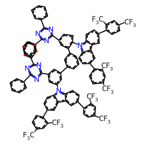 FC(F)(F)c1ccc(-c2ccc3c(c2)c2cc(-c4ccc(C(F)(F)F)cc4C(F)(F)F)ccc2n3-c2cc(-c3cccc(-c4cc(-c5nc(-c6ccccc6)nc(-c6ccccc6)n5)ccc4-n4c5ccc(-c6ccc(C(F)(F)F)cc6C(F)(F)F)cc5c5cc(-c6ccc(C(F)(F)F)cc6C(F)(F)F)ccc54)c3)cc(-c3nc(-c4ccccc4)nc(-c4ccccc4)n3)c2)c(C(F)(F)F)c1